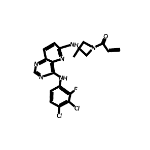 C=CC(=O)N1CC(C)(Nc2ccc3ncnc(Nc4ccc(Cl)c(Cl)c4F)c3n2)C1